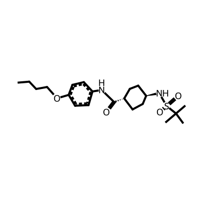 CCCCOc1ccc(NC(=O)[C@H]2CC[C@H](NS(=O)(=O)C(C)(C)C)CC2)cc1